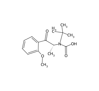 COc1ccccc1C(=O)[C@@H](C)N(C(=O)O)C(C)(C)C